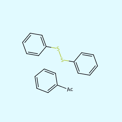 CC(=O)c1ccccc1.c1ccc(SSc2ccccc2)cc1